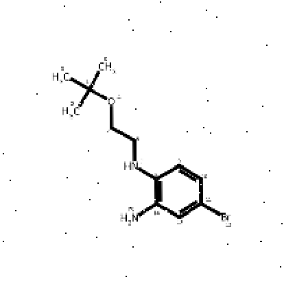 CC(C)(C)OCCNc1ccc(Br)cc1N